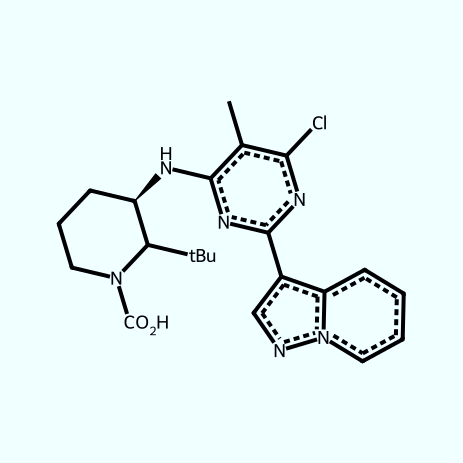 Cc1c(Cl)nc(-c2cnn3ccccc23)nc1N[C@@H]1CCCN(C(=O)O)C1C(C)(C)C